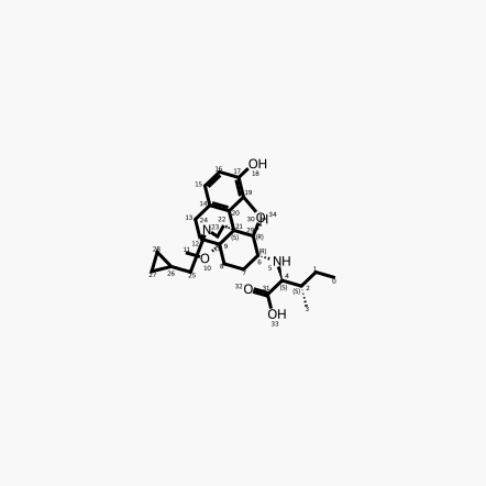 CC[C@H](C)[C@H](N[C@@H]1CC[C@@]2(OC)C3Cc4ccc(O)c5c4[C@@]2(CCN3CC2CC2)[C@H]1O5)C(=O)O